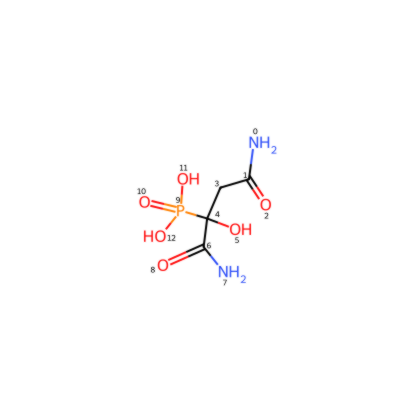 NC(=O)CC(O)(C(N)=O)P(=O)(O)O